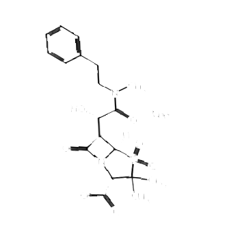 CN(CCc1ccccc1)C(=O)[C@@H](O)[C@@H]1C(=O)N2[C@@H](C(=O)[O-])C(C)(C)S(=O)(=O)[C@H]12.[Na+]